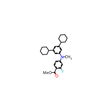 COC(=O)c1ccc(N(C)c2cc(C3CCCCC3)cc(C3CCCCC3)c2)cc1F